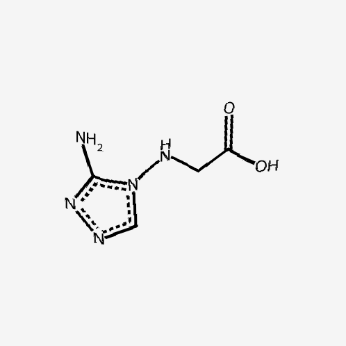 Nc1nncn1NCC(=O)O